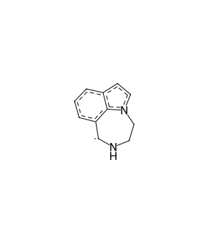 [CH]1NCCn2ccc3cccc1c32